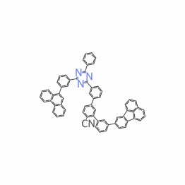 N#Cc1ccc(-c2cccc(-c3nc(-c4ccccc4)nc(-c4cccc(-c5cc6ccccc6c6ccccc56)c4)n3)c2)cc1-c1cccc(-c2ccc3c(c2)-c2cccc4cccc-3c24)c1